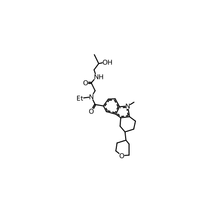 CCN(CC(=O)NCC(C)O)C(=O)c1ccc2c(c1)c1c(n2C)CCC(C2CCOCC2)C1